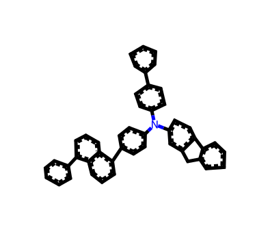 c1ccc(-c2ccc(N(c3ccc(-c4cccc5c(-c6ccccc6)cccc45)cc3)c3ccc4c(c3)Cc3ccccc3-4)cc2)cc1